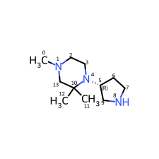 CN1CCN([C@@H]2CCNC2)C(C)(C)C1